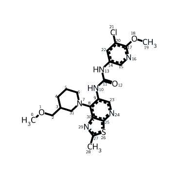 COCC1CCCN(c2c(NC(=O)Nc3cnc(OC)c(Cl)c3)cnc3sc(C)nc23)C1